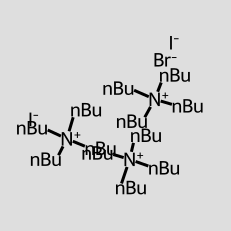 CCCC[N+](CCCC)(CCCC)CCCC.CCCC[N+](CCCC)(CCCC)CCCC.CCCC[N+](CCCC)(CCCC)CCCC.[Br-].[I-].[I-]